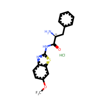 Cl.N[C@@H](Cc1ccccc1)C(=O)Nc1nc2ccc(OC(F)(F)F)cc2s1